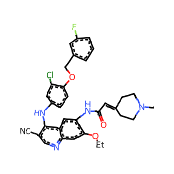 CCOc1cc2ncc(C#N)c(Nc3ccc(OCc4cccc(F)c4)c(Cl)c3)c2cc1NC(=O)C=C1CCN(C)CC1